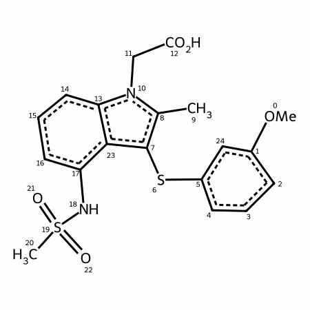 COc1cccc(Sc2c(C)n(CC(=O)O)c3cccc(NS(C)(=O)=O)c23)c1